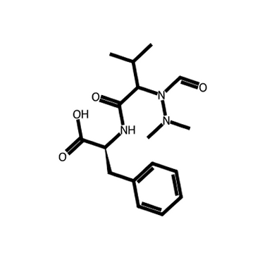 CC(C)C(C(=O)N[C@@H](Cc1ccccc1)C(=O)O)N(C=O)N(C)C